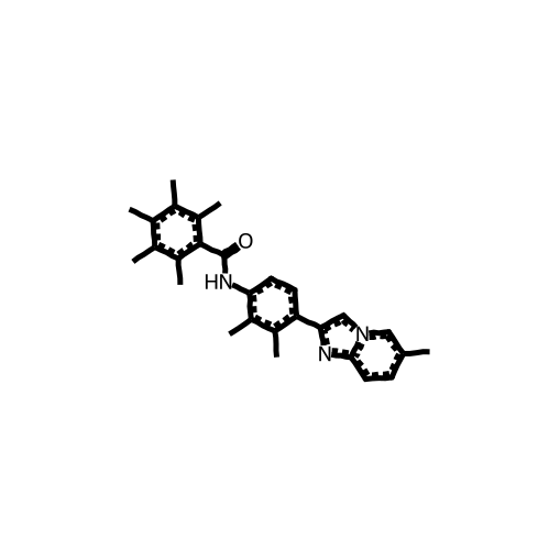 Cc1ccc2nc(-c3ccc(NC(=O)c4c(C)c(C)c(C)c(C)c4C)c(C)c3C)cn2c1